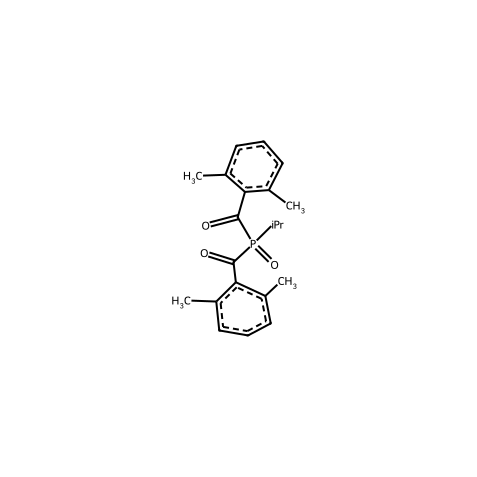 Cc1cccc(C)c1C(=O)P(=O)(C(=O)c1c(C)cccc1C)C(C)C